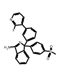 CS(=O)(=O)c1ccc(C2(c3cccc(-c4cccnc4F)c3)N=C(N)c3ccccc32)cc1